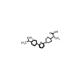 CC(C)c1ccc(-c2cccc(N3CCC(N(C)C(=O)O)CC3)n2)cc1